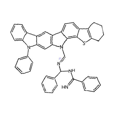 N=C(NC(/N=C/n1c2cc3c(cc2c2ccc4c5c(sc4c21)CCCC5)c1ccccc1n3-c1ccccc1)c1ccccc1)c1ccccc1